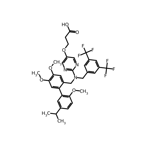 COc1cc(CN(Cc2cc(C(F)(F)F)cc(C(F)(F)F)c2)c2ncc(OCCC(=O)O)cn2)c(-c2cc(C(C)C)ccc2OC)cc1OC